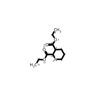 CCOC(=O)C1[CH]CC[N]C1C(=O)OCC